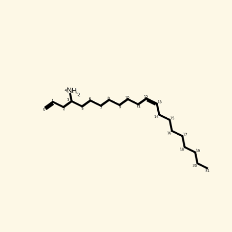 C=CCC(N)CCCCCCC/C=C\CCCCCCCC